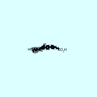 O=C(O)CCCc1ccc(-c2ccc(-c3cc4nc(O[C@@H]5CO[C@H]6[C@@H]5OC[C@H]6O)[nH]c4cc3Cl)cc2)cc1